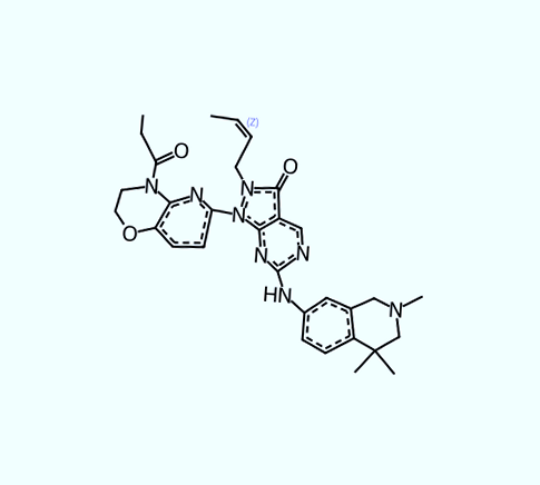 C/C=C\Cn1c(=O)c2cnc(Nc3ccc4c(c3)CN(C)CC4(C)C)nc2n1-c1ccc2c(n1)N(C(=O)CC)CCO2